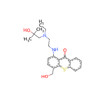 CCN(CCNc1ccc(CO)c2sc3ccccc3c(=O)c12)CC(C)(C)O